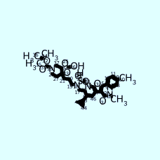 CNC(=O)c1c(-c2ccc(C)cc2)oc2nc(CN(CCCC3(OC(=O)O)CCN(C(=O)OC(C)(C)C)CC3)[SH](=O)=O)c(C3CC3)cc12